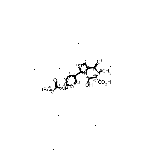 CN(C(=O)c1csc(-c2cnc(NC(=O)OC(C)(C)C)nc2)n1)[C@@H](CO)C(=O)O